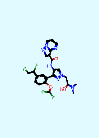 CN(C)C(O)Cn1cc(NC(=O)c2cnn3cccnc23)c(-c2cc(C(F)CF)ccc2OC(F)F)n1